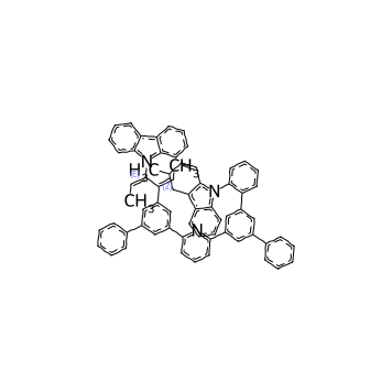 C/C=C(\C(=C/C)n1c2ccccc2c2ccccc21)c1cc(-c2ccccc2)cc(-c2cccc(-c3cc(-c4ccccc4)cc(-c4ccccc4-n4c5c(c6ccccc64)CC(C)C=C5)c3)n2)c1